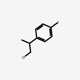 CC(C[O])c1ccc(I)cc1